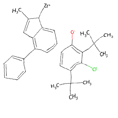 CC(C)(C)c1ccc([O-])c(C(C)(C)C)c1Cl.CC1=Cc2c(-c3ccccc3)cccc2[CH]1[Zr+]